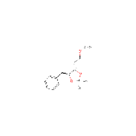 CCC1(CC)O[C@@H](CCOC=O)[C@H](Cc2ccccc2)O1